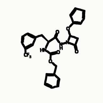 O=C(N[C@@H](Cc1cccc(C(F)(F)F)c1)C(=O)NN1C(=O)CC1Oc1ccccc1)OCc1ccccc1